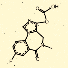 CN1Cc2c(OC(=O)O)ncn2-c2ccc(F)cc2C1=O